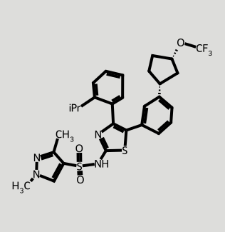 Cc1nn(C)cc1S(=O)(=O)Nc1nc(-c2ccccc2C(C)C)c(-c2cccc([C@@H]3CC[C@H](OC(F)(F)F)C3)c2)s1